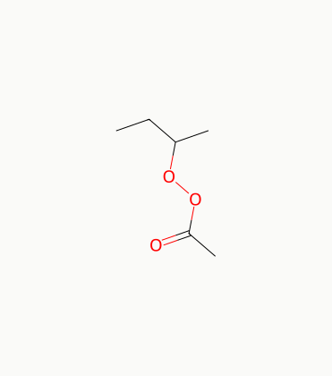 CCC(C)OOC(C)=O